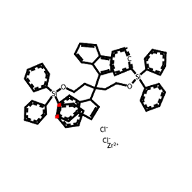 C1=CC2=CC=C(C(CCO[Si](c3ccccc3)(c3ccccc3)c3ccccc3)(CCO[Si](c3ccccc3)(c3ccccc3)c3ccccc3)C3C=Cc4ccccc43)C2C=C1.[Cl-].[Cl-].[Zr+2]